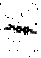 CCCCCCCCCCOc1ccc(-c2ncc(OCC(C)OCCC)cn2)cc1